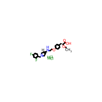 CCO[C@@H](Cc1ccc(OCCN[C@H]2C3CN(Cc4ccc(F)cc4F)C[C@@H]32)cc1)C(=O)O.Cl.Cl